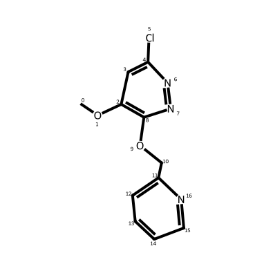 COc1cc(Cl)nnc1OCc1ccccn1